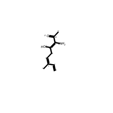 C=C/C(C)=C\C/C(O)=C(\N)C(C)=O